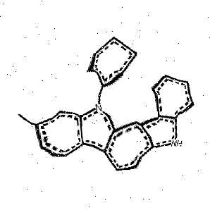 Cc1ccc2c3ccc4[nH]c5ccccc5c4c3n(-c3ccccc3)c2c1